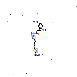 CNc1nnc(CCCCc2nnc(NC(=O)Cc3c[nH]c4ccc(OC)cc34)s2)s1